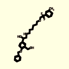 Cc1cccc(C(F)(F)COCCCCCCNCC(O)c2ccc(OCc3ccccc3)c(CO)c2)c1